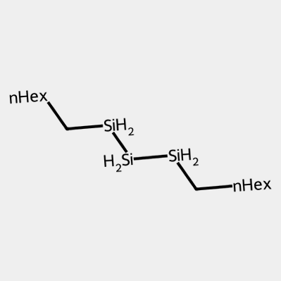 CCCCCCC[SiH2][SiH2][SiH2]CCCCCCC